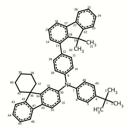 CC(C)(C)c1ccc(N(c2ccc(-c3cccc4c3C(C)(C)c3ccccc3-4)cc2)c2ccc3c(c2)C2(CCCCC2)c2ccccc2-3)cc1